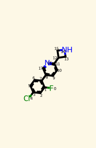 Fc1cc(Cl)ccc1-c1ccc(C2CNC2)nc1